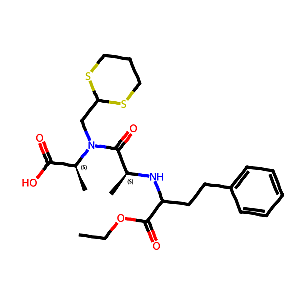 CCOC(=O)C(CCc1ccccc1)N[C@@H](C)C(=O)N(CC1SCCCS1)[C@@H](C)C(=O)O